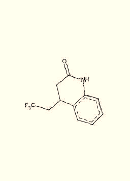 O=C1CC(CC(F)(F)F)c2ccccc2N1